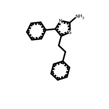 Nc1nc(-c2ccccc2)c(CCc2ccccc2)s1